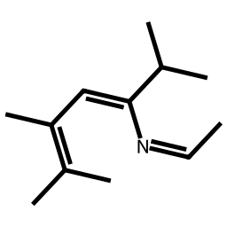 C/C=N\C(=C/C(C)=C(C)C)C(C)C